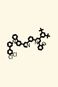 COc1ccccc1-c1cc(-c2cc(C(C)(C)C)cc(C(C)(C)C)c2)cc(-c2cccc(-c3cc(-c4ccc5c(c4)c4ccccc4n5-c4cccc(-c5ccc(Cl)c(Cl)c5)c4)ccn3)c2)n1